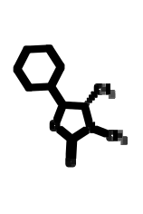 C[C@H]1C(C2CCCCC2)OC(=O)N1C